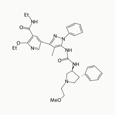 CCNC(=O)c1cc(-c2nn(-c3ccccc3)c(NC(=O)N[C@@H]3CN(CCOC)C[C@H]3c3ccccc3)c2C)cnc1OCC